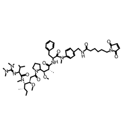 CC[C@H](C)[C@@H]([C@@H](CC(=O)N1CCCC1[C@H](OC)[C@@H](C)C(=O)NC(Cc1ccccc1)C(=O)N(C)c1ccc(CNC(=O)CCCCCN2C(=O)C=CC2=O)cc1)OC)N(C)C(=O)C(N=C(N(C)C)N(C)C)C(C)C